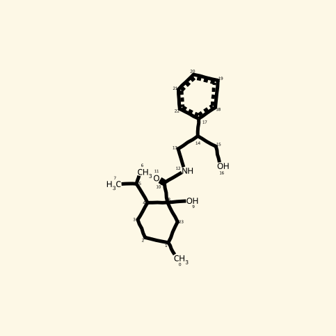 CC1CCC(C(C)C)C(O)(C(=O)NCC(CO)c2ccccc2)C1